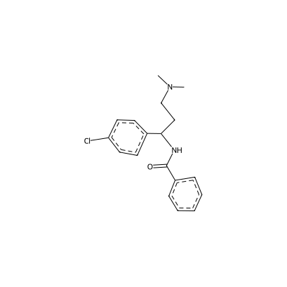 CN(C)CCC(NC(=O)c1ccccc1)c1ccc(Cl)cc1